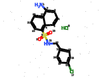 Cl.Nc1cccc2c(S(=O)(=O)NCc3ccc(Cl)cc3)cccc12